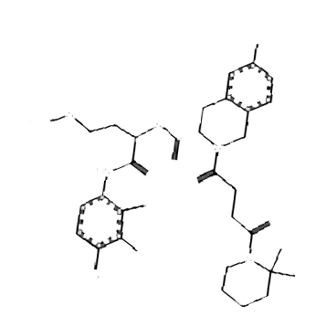 CC1(C)CCCCN1C(=O)CCC(=O)N1Cc2ccc(F)cc2C[C@H]1C(=O)NC(CCNC(=O)O)C(=O)Nc1ccc(Cl)c(Cl)c1F